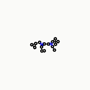 c1ccc(-c2ccc(N(c3ccc(-c4ccc5c(c4)c4cc(-c6cccc7ccccc67)ccc4n5-c4cccc(-c5ccc6c7ccccc7c7ccccc7c6c5)c4)cc3)c3ccc4c(c3)C(c3ccccc3)(c3ccccc3)c3ccccc3-4)cc2)cc1